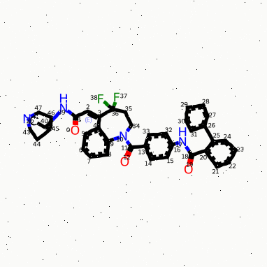 O=C(/C=C1\c2ccccc2N(C(=O)c2ccc(NC(=O)c3ccccc3-c3ccccc3)cc2)CCC1(F)F)NC1CN2CCC1CC2